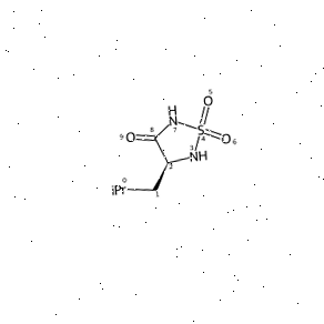 CC(C)C[C@@H]1NS(=O)(=O)NC1=O